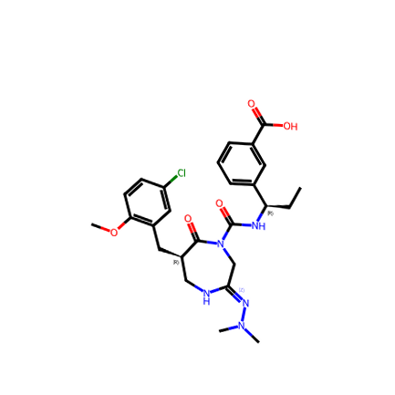 CC[C@@H](NC(=O)N1C/C(=N/N(C)C)NC[C@@H](Cc2cc(Cl)ccc2OC)C1=O)c1cccc(C(=O)O)c1